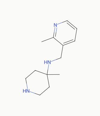 Cc1ncccc1CNC1(C)CCNCC1